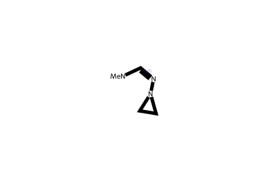 CN/C=N\N1CC1